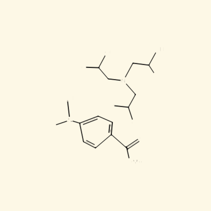 CC(O)CN(CC(C)O)CC(C)O.COC(=O)c1ccc(N(C)C)cc1